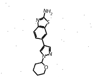 Nc1nc2ccc(-c3cnn(C4CCCCO4)c3)cc2s1